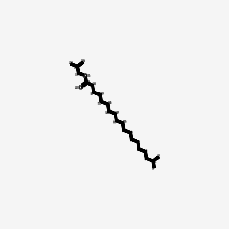 CC(C)CCCCCCCCCCCCCCCCC(=O)OCC(C)C